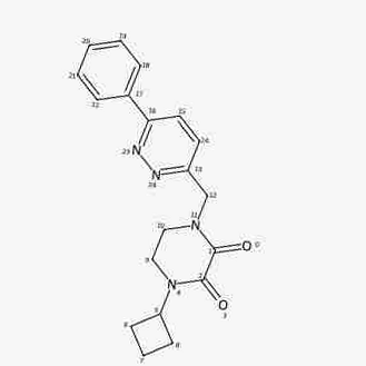 O=C1C(=O)N(C2CCC2)CCN1Cc1ccc(-c2ccccc2)nn1